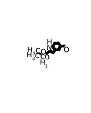 CC(C)(C)OC(=O)c1cc2cc(C=O)ccc2[nH]1